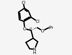 CC(C)OC[C@@H](Oc1ccc(Cl)cc1Cl)C1CCNC1